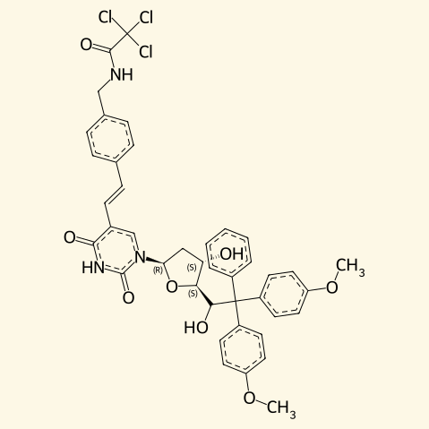 COc1ccc(C(c2ccccc2)(c2ccc(OC)cc2)C(O)[C@H]2O[C@@H](n3cc(C=Cc4ccc(CNC(=O)C(Cl)(Cl)Cl)cc4)c(=O)[nH]c3=O)C[C@@H]2O)cc1